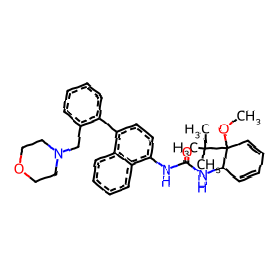 COC1(C(C)(C)C)C=CC=CC1NC(=O)Nc1ccc(-c2ccccc2CN2CCOCC2)c2ccccc12